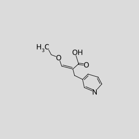 CCOC=C(Cc1cccnc1)C(=O)O